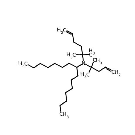 C=CCCC(C)(C)N(C(CCCCCCC)CCCCCCC)C(C)(C)CC=C